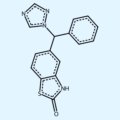 O=c1[nH]c2cc(C(c3ccccc3)n3cncn3)ccc2s1